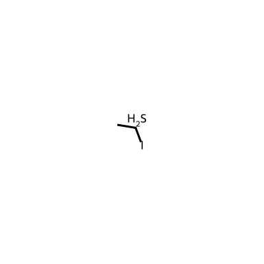 CCI.S